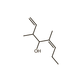 C=CC(C)C(O)/C(C)=C\CC